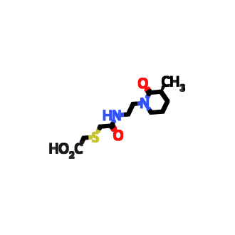 C[C@@H]1CCCN(CCNC(=O)CSCC(=O)O)C1=O